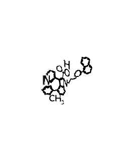 Cc1ccccc1-c1cccc2c1c(-c1cccnc1)c(C(=O)O)n2CCCOc1cccc2ccccc12